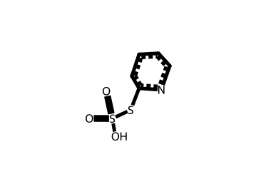 O=S(=O)(O)Sc1ccccn1